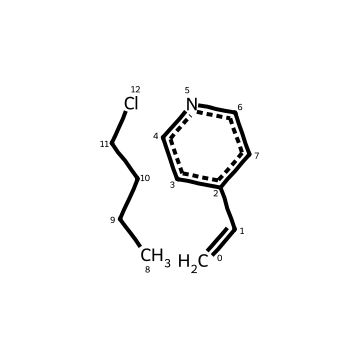 C=Cc1ccncc1.CCCCCl